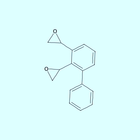 c1ccc(-c2cccc(C3CO3)c2C2CO2)cc1